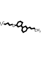 CCCCCOC1CCCC(C2CCCC(CCCC)C2)C1